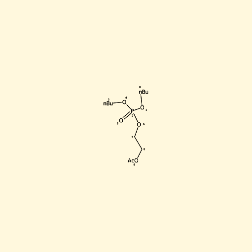 CCCCOP(=O)(OCCCC)OCCOC(C)=O